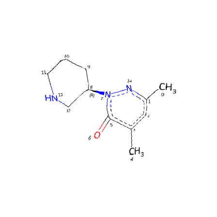 Cc1cc(C)c(=O)n([C@@H]2CCCNC2)n1